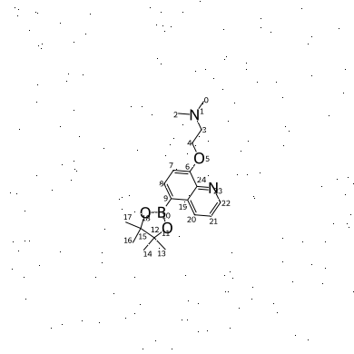 CN(C)CCOc1ccc(B2OC(C)(C)C(C)(C)O2)c2cccnc12